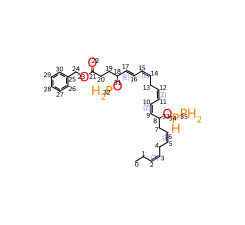 CC/C=C\C/C=C\CC(/C=C\C=C/C/C=C\C=C\C(CCC(=O)OCc1ccccc1)OP)OPP